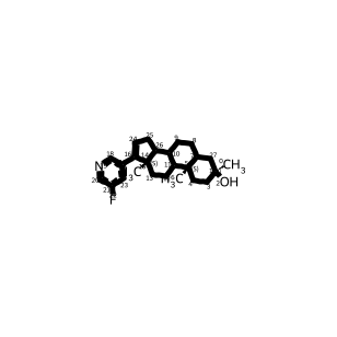 C[C@]1(O)CC[C@@]2(C)C(CCC3C2CC[C@]2(C)C(c4cncc(F)c4)=CCC32)C1